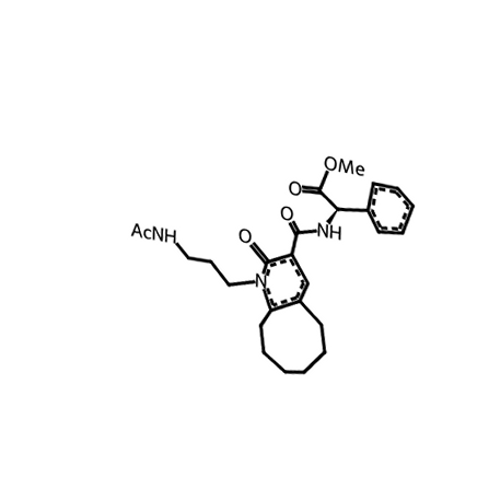 COC(=O)[C@H](NC(=O)c1cc2c(n(CCCNC(C)=O)c1=O)CCCCCC2)c1ccccc1